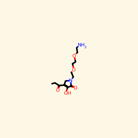 CCC(=O)C1=C(O)C(=O)N(CCOCCOCCN)C1